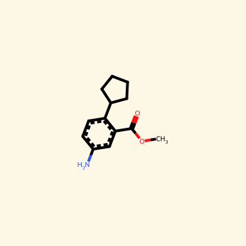 COC(=O)c1cc(N)ccc1C1CCCC1